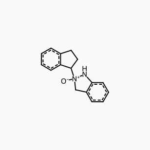 [O-][N+]1(C2CCc3ccccc32)Cc2ccccc2N1